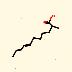 CCC/C=C/CCCCC(C)C(=O)O